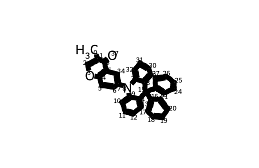 Cc1coc2ccc(N3c4ccccc4C(c4ccccc4)(c4ccccc4)c4ccccc43)cc2c1=O